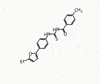 CCc1ccc(-c2ccc(NC(=S)NC(=O)c3ccc(C)cc3)cc2)o1